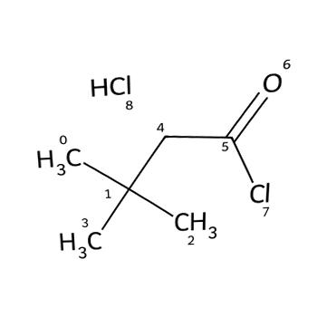 CC(C)(C)CC(=O)Cl.Cl